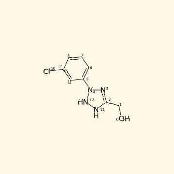 OCC1=NN(c2cccc(Cl)c2)NN1